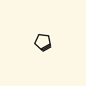 C1#CC[CH]C1